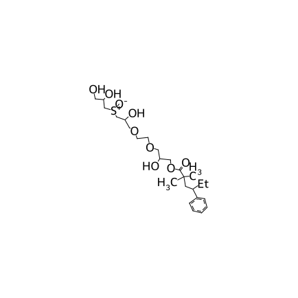 CCC(CC(C)(C)C(=O)OCC(O)COCCOCC(O)C[S+]([O-])CC(O)CO)c1ccccc1